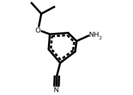 CC(C)Oc1cc(N)cc(C#N)c1